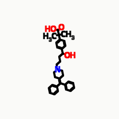 CC(C)(C(=O)O)c1ccc(C(O)CCCN2CCC(=C(c3ccccc3)c3ccccc3)CC2)cc1